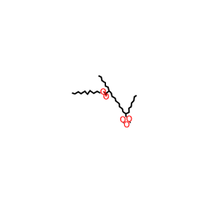 CCCCCCCCCCOC(=O)C(CCCCCC)CCCCCCCCC(CCCCCCC)C1OCOCO1